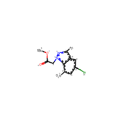 CC(=O)c1nn(CC(=O)OC(C)(C)C)c2c([N+](=O)[O-])cc(Br)cc12